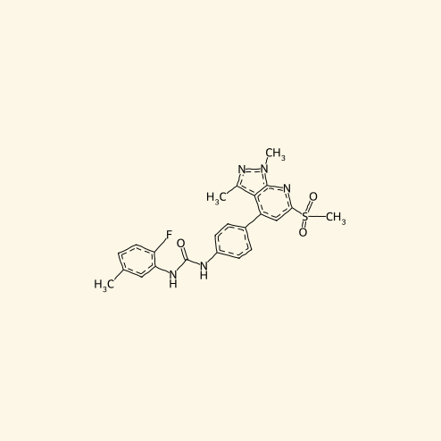 Cc1ccc(F)c(NC(=O)Nc2ccc(-c3cc(S(C)(=O)=O)nc4c3c(C)nn4C)cc2)c1